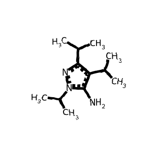 CC(C)c1nn(C(C)C)c(N)c1C(C)C